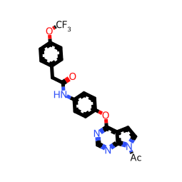 CC(=O)n1ccc2c(Oc3ccc(NC(=O)Cc4ccc(OC(F)(F)F)cc4)cc3)ncnc21